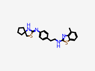 Cc1cccc2sc(NCCc3ccc(/N=C4/NC5(CCCC5)CS4)cc3)nc12